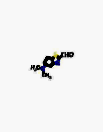 CN(C)c1ccc2sc(C=O)nc2c1